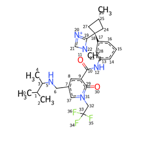 CC(C)C(C)NCc1cc(C(=O)Nc2cccc([C@]3(C4=[N+]=CN4C)C[C@@H](C)C3)c2)c(=O)n(CC(F)(F)F)c1